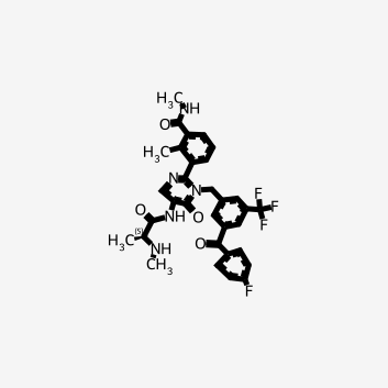 CNC(=O)c1cccc(-c2ncc(NC(=O)[C@H](C)NC)c(=O)n2Cc2cc(C(=O)c3ccc(F)cc3)cc(C(F)(F)F)c2)c1C